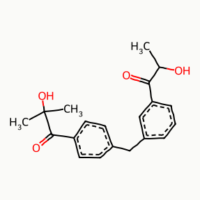 CC(O)C(=O)c1cccc(Cc2ccc(C(=O)C(C)(C)O)cc2)c1